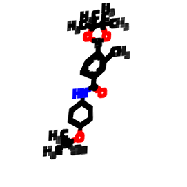 Cc1cc(C(=O)N[C@H]2CC[C@H](O[Si](C)(C)C(C)(C)C)CC2)ccc1B1OC(C)(C)C(C)(C)O1